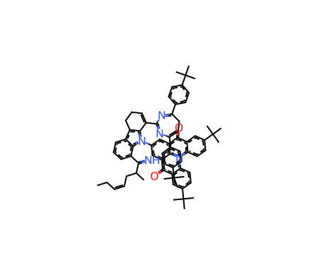 CC/C=C\CC(C)C(=N)c1cccc2c3c(n(-c4cc5c(=O)c6cc(C(C)(C)C)ccc6n6c7ccc(C(C)(C)C)cc7c(=O)c(c4)c56)c12)C(C1=NC(c2ccc(C(C)(C)C)cc2)=CCC(c2ccc(C(C)(C)C)cc2)=N1)=CCC3